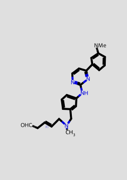 CNc1cccc(-c2ccnc(Nc3cccc(CN(C)C/C=C/CC=O)c3)n2)c1